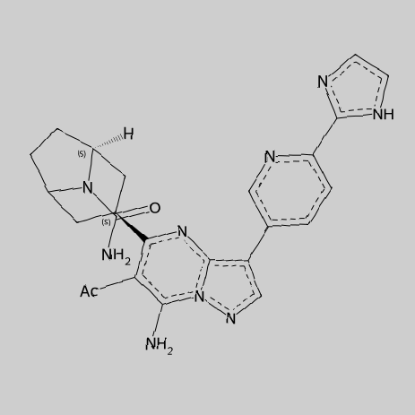 CC(=O)c1c([C@H]2CC3CC[C@@H](C2)N3C(N)=O)nc2c(-c3ccc(-c4ncc[nH]4)nc3)cnn2c1N